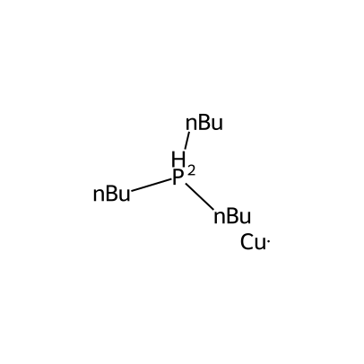 CCCC[PH2](CCCC)CCCC.[Cu]